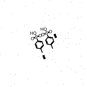 C#C.C#C.Cc1ccc(S(=O)(=O)O)cc1.Cc1ccc(S(=O)(=O)O)cc1